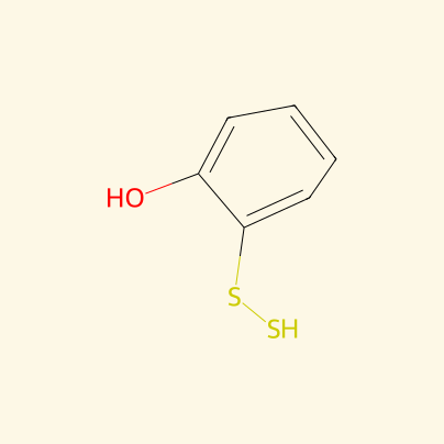 Oc1ccccc1SS